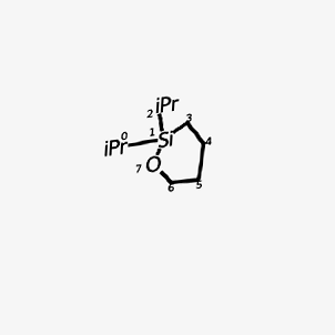 CC(C)[Si]1(C(C)C)CCCCO1